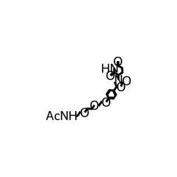 CC(=O)NCCOCCOCCOc1ccc(C2CN(C3CCC(=O)NC3=O)C(=O)O2)cc1